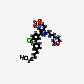 CS(=O)(=O)N1CCc2c(c(-c3ccc(Cl)c(-c4ccc(CCCC(=O)O)cc4)c3)nn2CCCN2CCOCC2)C1